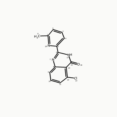 Cc1cccc(-c2nc3cccc(Cl)c3c(=O)[nH]2)n1